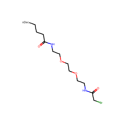 CCCCCCCCCCCCCC(=O)NCCOCCOCCNC(=O)CBr